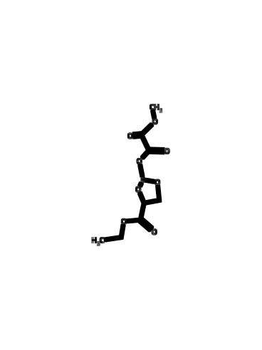 CCOC(=O)C1COB(OC(=O)C(=O)OC)O1